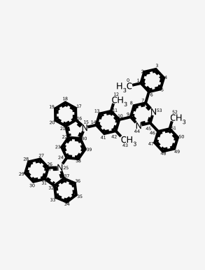 Cc1ccccc1-c1cc(-c2c(C)cc(-n3c4ccccc4c4cc(-n5c6ccccc6c6ccccc65)ccc43)cc2C)nc(-c2ccccc2C)n1